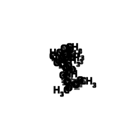 CCCOc1cc2cc(NC(=O)c3ccc(OC)c(-c4cccc(OC)c4)c3)c(=O)oc2c(C)c1O[C@@H]1OC(C)(C)[C@H](OC)[C@@H](O)[C@H]1O